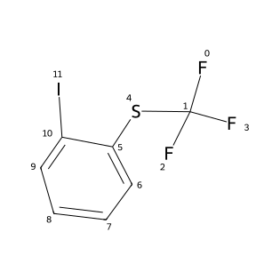 FC(F)(F)Sc1ccccc1I